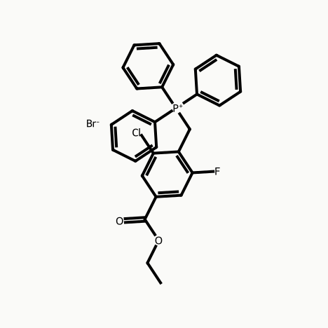 CCOC(=O)c1cc(F)c(C[P+](c2ccccc2)(c2ccccc2)c2ccccc2)c(Cl)c1.[Br-]